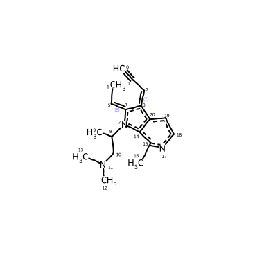 C#C/C=c1\c(=C/C)n(C(C)CN(C)C)c2c(C)nccc12